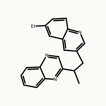 CCc1ccc2ncc(CC(C)c3cnc4ccccc4n3)cc2c1